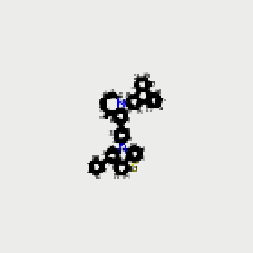 C=C1/C=C\C=C/CN(c2ccc3c4ccccc4c4ccccc4c3c2)c2ccc(-c3ccc(N(c4ccc(-c5ccccc5)cc4)c4cccc5sc6ccccc6c45)cc3)cc21